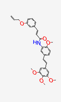 C=CCOc1cccc(/C=C/C(=O)Nc2cc(/C=C/c3cc(OC)c(OC)c(OC)c3)ccc2OC)c1